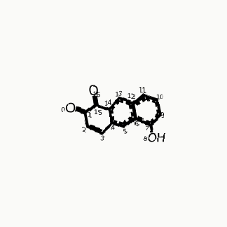 O=C1C=Cc2cc3c(O)cccc3cc2C1=O